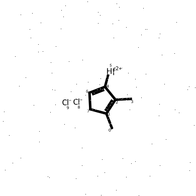 CC1=C(C)[C]([Hf+2])=CC1.[Cl-].[Cl-]